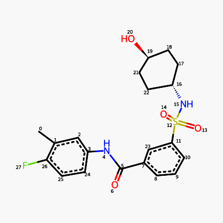 Cc1cc(NC(=O)c2cccc(S(=O)(=O)N[C@H]3CC[C@H](O)CC3)c2)ccc1F